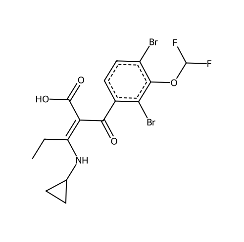 CCC(NC1CC1)=C(C(=O)O)C(=O)c1ccc(Br)c(OC(F)F)c1Br